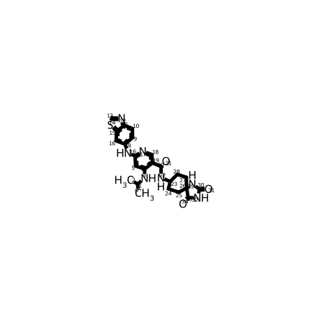 CC(C)Nc1cc(Nc2ccc3ncsc3c2)ncc1C(=O)NC1CCC2(CC1)NC(=O)NC2=O